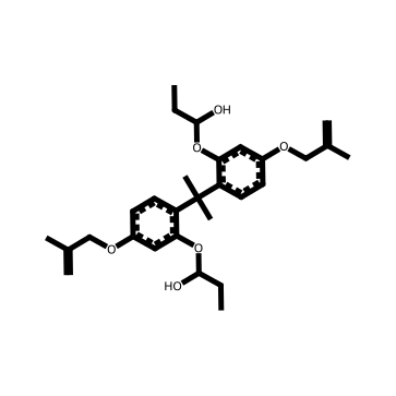 C=C(C)COc1ccc(C(C)(C)c2ccc(OCC(=C)C)cc2OC(O)CC)c(OC(O)CC)c1